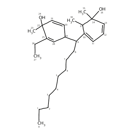 CCCCCCCCCC(C1=CC=CC(C)(O)C1C)C1C=CC(C)(O)C(CC)=C1